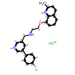 Cc1ccc2cccc(OCCNCc3cncc(-c4ccc(F)cc4)c3)c2n1.Cl